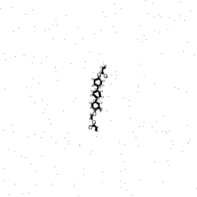 C=CC(=O)O/C=C\Oc1ccc(-c2ccc(-c3ccc(OC(=O)C=C)cc3)cc2)cc1F